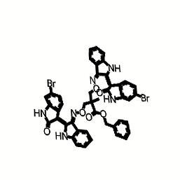 CC(CO/N=C1\C(=C2/C(=O)Nc3cc(Br)ccc32)Nc2ccccc21)(CO/N=C1/C(=C2/C(=O)Nc3cc(Br)ccc32)Nc2ccccc21)C(=O)OCc1ccccc1